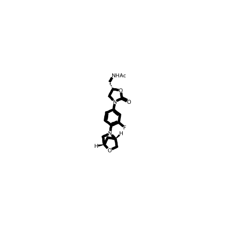 CC(=O)NC[C@H]1CN(c2ccc(N3C[C@@H]4C[C@H]3CO4)c(F)c2)C(=O)O1